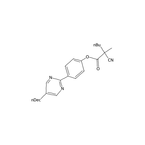 CCCCCCCCCCc1cnc(-c2ccc(OC(=O)C(C)(C#N)CCCC)cc2)nc1